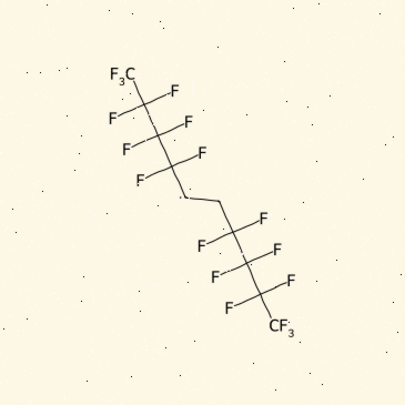 FC(F)(F)C(F)(F)C(F)(F)C(F)(F)[CH]CC(F)(F)C(F)(F)C(F)(F)C(F)(F)F